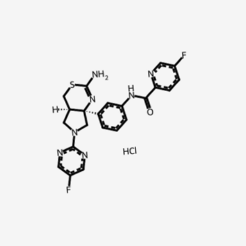 Cl.NC1=N[C@@]2(c3cccc(NC(=O)c4ccc(F)cn4)c3)CN(c3ncc(F)cn3)C[C@H]2CS1